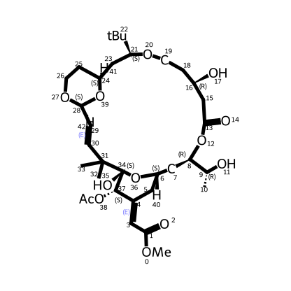 COC(=O)/C=C1\C[C@H]2C[C@H]([C@@H](C)O)OC(=O)C[C@H](O)CCO[C@H](C(C)(C)C)C[C@@H]3CCO[C@H](/C=C/C(C)(C)[C@](O)(O2)[C@H]1OC(C)=O)O3